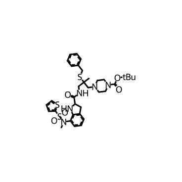 CN(c1cccc2c1NC(C(=O)NCC(C)(CN1CCN(C(=O)OC(C)(C)C)CC1)SCc1ccccc1)C2)S(=O)(=O)c1cccs1